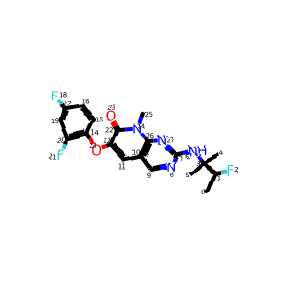 CC(F)C(C)(C)Nc1ncc2cc(Oc3ccc(F)cc3F)c(=O)n(C)c2n1